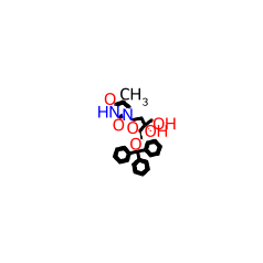 Cc1cn([C@H]2C[C@@](O)(CO)[C@@H](COC(c3ccccc3)(c3ccccc3)c3ccccc3)O2)c(=O)[nH]c1=O